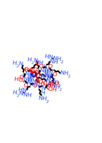 N=C(N)NCCC[C@H](NC(=O)[C@H](CO)NC(=O)[C@H](CCCCN)NC(=O)[C@H](CCCCN)NC(=O)[C@H](CCCCN)NC(=O)[C@H](CCCNC(=N)N)NC(=O)[C@H](CCCCN)NC(=O)[C@H](CCCNC(=N)N)NC(=O)[C@H](CCCCN)NC(=O)[C@@H](N)CCC(N)=O)C(=O)N[C@@H](Cc1ccc(O)cc1)C(=O)N[C@@H](CCCCN)C(=O)N[C@@H](CO)C(=O)O